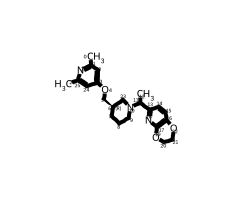 Cc1cc(OC[C@@H]2CCCN(C(C)c3ccc4c(n3)OCCO4)C2)cc(C)n1